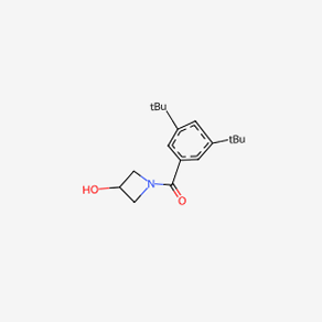 CC(C)(C)c1cc(C(=O)N2CC(O)C2)cc(C(C)(C)C)c1